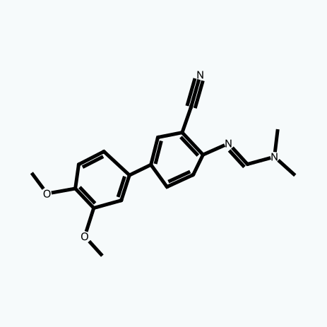 COc1ccc(-c2ccc(N=CN(C)C)c(C#N)c2)cc1OC